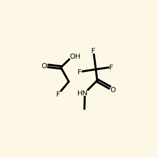 CNC(=O)C(F)(F)F.O=C(O)CF